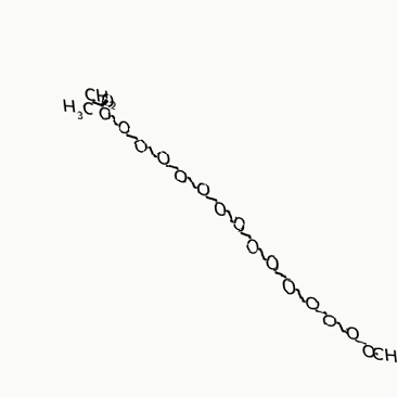 C=C(C)C(=O)OCCOCCOCCOCCOCCOCCOCCOCCOCCOCCOCCOCCOCCOCCOC